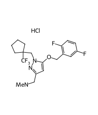 CNCc1cc(OCc2cc(F)ccc2F)n(CC2(C(F)(F)F)CCCC2)n1.Cl